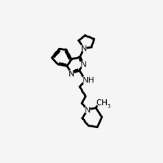 CC1CCCCN1CCCNc1nc(N2CCCC2)c2ccccc2n1